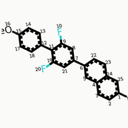 CCCCc1ccc2cc(-c3cc(F)c(-c4ccc(OC)cc4)c(F)c3)ccc2c1